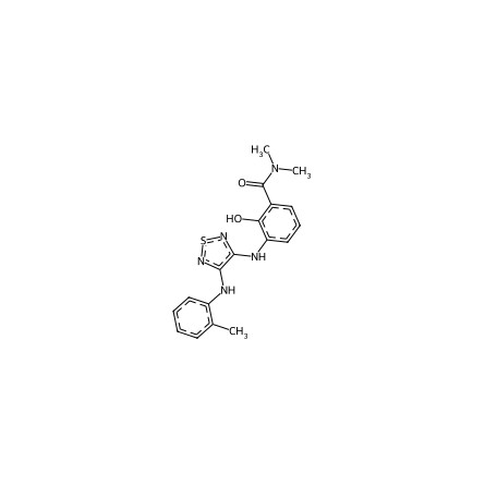 Cc1ccccc1Nc1nsnc1Nc1cccc(C(=O)N(C)C)c1O